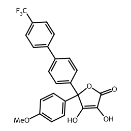 COc1ccc(C2(c3ccc(-c4ccc(C(F)(F)F)cc4)cc3)OC(=O)C(O)=C2O)cc1